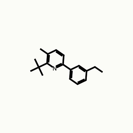 CCc1cccc(-c2ccc(C)c(C(C)(C)C)n2)c1